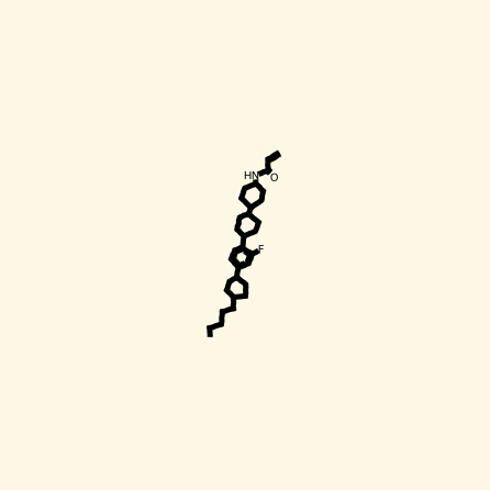 C=CC(=O)NC1CCC(C2CCC(c3ccc(C4CCC(CCCCC)CC4)cc3F)CC2)CC1